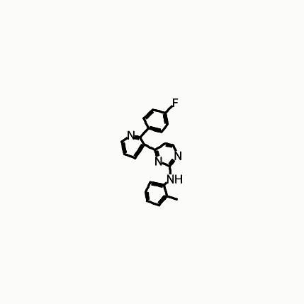 Cc1ccccc1Nc1nccc(-c2cccnc2-c2ccc(F)cc2)n1